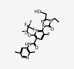 CCn1c(CO)nn(-c2nc(O[C@@H](C)C(F)(F)F)c(C(=O)Nc3cc(C)cnc3C)cc2F)c1=O